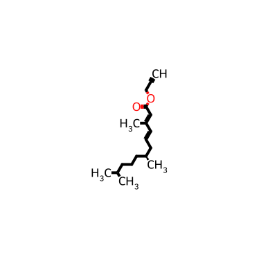 C#CCOC(=O)/C=C(C)/C=C/C[C@@H](C)CCCC(C)C